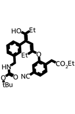 CCOC(=O)Cc1ccc(C#N)cc1O/C(=C/C(=C(/O)CC)c1cccc(CNC(=O)OC(C)(C)C)c1)CC